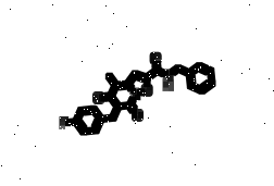 CC1=C2C=C(C(=O)NCc3ccccc3)ON2C(=O)C(Cc2ccc(F)cc2)C1=O